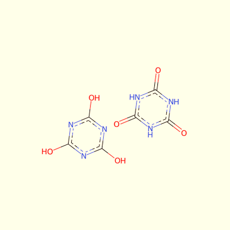 O=c1[nH]c(=O)[nH]c(=O)[nH]1.Oc1nc(O)nc(O)n1